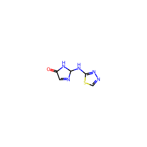 O=C1C=NC(Nc2nncs2)N1